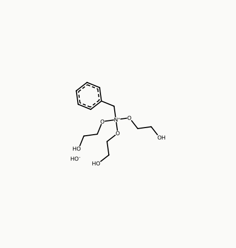 OCCO[N+](Cc1ccccc1)(OCCO)OCCO.[OH-]